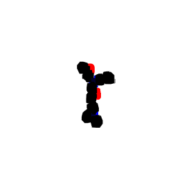 c1ccc(-c2ccc(N(c3ccc4c(c3)oc3ccccc34)c3ccc4c(c3)oc3cc(-c5ccc6c(c5)c5cccc7c8ccccc8n6c75)ccc34)cc2)cc1